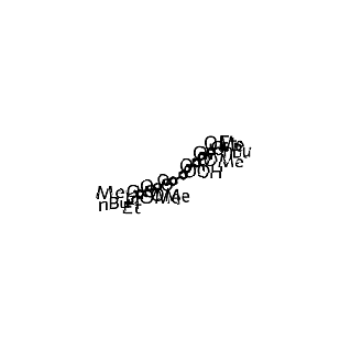 CCCCC(CC)COc1cc(OC)c(C(=O)Oc2ccc(C(=O)Oc3ccc(-c4ccc(OC(=O)c5ccc(OC(=O)c6cc(OC)c(OCC(CC)CCCC)cc6OC)c(OC)c5)cc4)cc3)cc2CO)cc1OC